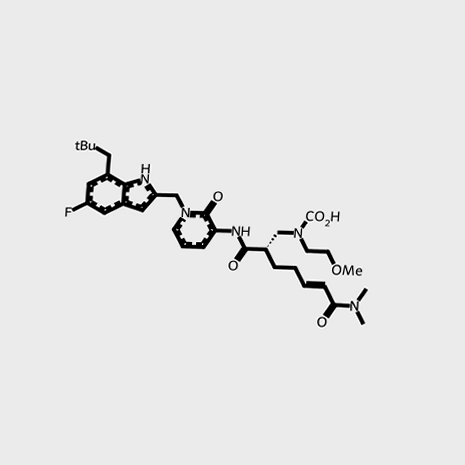 COCCN(C[C@H](CC/C=C/C(=O)N(C)C)C(=O)Nc1cccn(Cc2cc3cc(F)cc(CC(C)(C)C)c3[nH]2)c1=O)C(=O)O